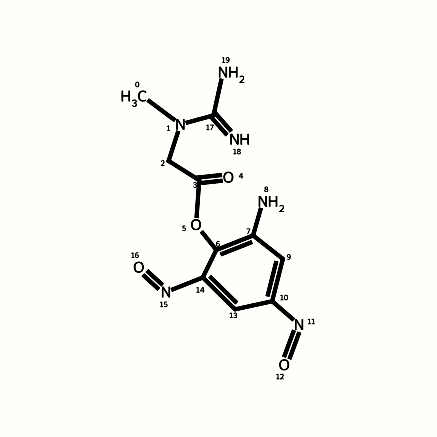 CN(CC(=O)Oc1c(N)cc(N=O)cc1N=O)C(=N)N